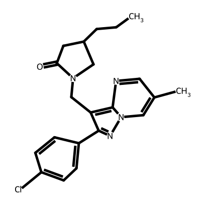 CCCC1CC(=O)N(Cc2c(-c3ccc(Cl)cc3)nn3cc(C)cnc23)C1